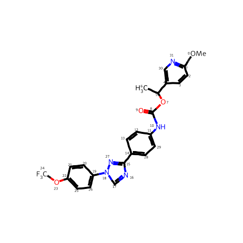 COc1ccc(C(C)OC(=O)Nc2ccc(-c3ncn(-c4ccc(OC(F)(F)F)cc4)n3)cc2)cn1